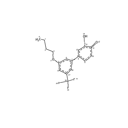 CCCCOc1cc(-n2ccc(=O)c(O)c2)cc(C(F)(F)F)c1